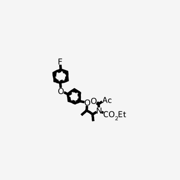 CCOC(=O)N(C(=O)C(C)=O)C(C)C(C)Oc1ccc(Oc2ccc(F)cc2)cc1